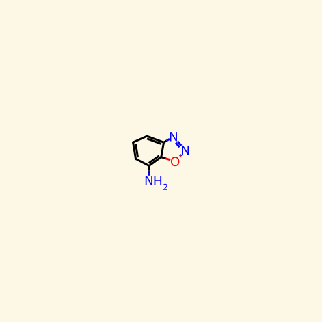 Nc1cccc2nnoc12